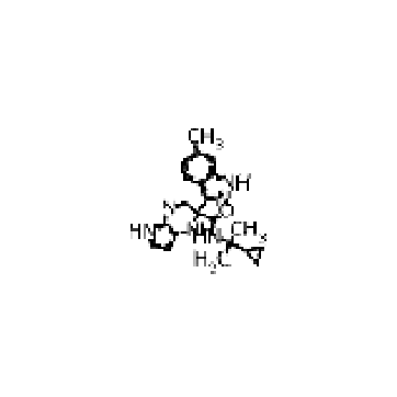 Cc1ccc2c(C3(C(=O)NC(C)(C)C4CC4)C=Nc4[nH]ccc4N3)n[nH]c2c1